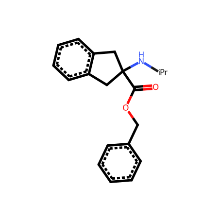 CC(C)NC1(C(=O)OCc2ccccc2)Cc2ccccc2C1